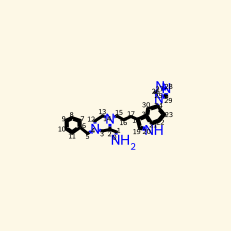 NCC1CN(Cc2ccccc2)CCN1CCCc1c[nH]c2ccc(-n3cnnc3)cc12